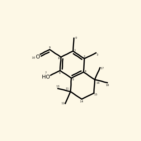 Cc1c(C)c2c(c(O)c1C=O)C(C)(C)CCC2(C)C